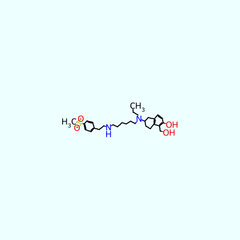 CCCN(CCCCCCNCCc1ccc(S(C)(=O)=O)cc1)C1CCc2c(ccc(O)c2CO)C1